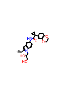 CC(C)(C)c1cc2cc(NC(=O)C3(c4ccc5c(c4)OCCO5)CC3)ccc2n1C[C@@H](O)CO